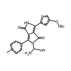 CCCCOc1csc(C2=C3C(=O)N(C(N)CCC)C(c4ccc(C)cc4)=C3C(=O)N2)c1